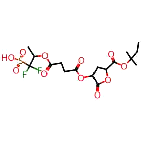 CCC(C)(C)OC(=O)C1CC(OC(=O)CCC(=O)OC(C)C(F)(F)S(=O)(=O)O)C(=O)O1